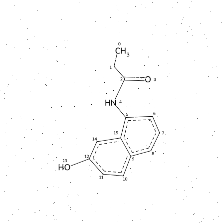 CCC(=O)Nc1cccc2ccc(O)cc12